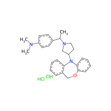 CC(c1ccc(N(C)C)cc1)N1CCC(N2c3ccccc3COc3ccccc32)C1.Cl.Cl